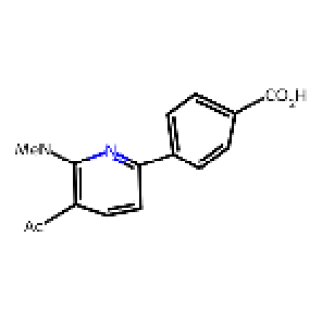 CNc1nc(-c2ccc(C(=O)O)cc2)ccc1C(C)=O